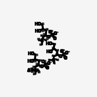 C[N+](C)(C)CC(CC(O)CO)OP(=O)([O-])[O-].C[N+](C)(C)CC(CC(O)CO)OP(=O)([O-])[O-].C[N+](C)(C)CC(CC(O)CO)OP(=O)([O-])[O-].[Al+3]